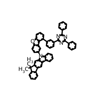 CC1(C)c2ccccc2-c2cc3c4ccccc4n(-c4ccc5oc6cccc(-c7cccc(-c8nc(-c9ccccc9)nc(-c9ccccc9)n8)c7)c6c5c4)c3cc21